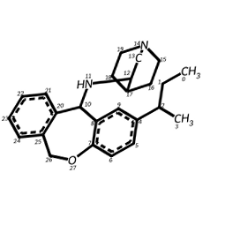 CCC(C)c1ccc2c(c1)C(NC1CN3CCC1CC3)c1ccccc1CO2